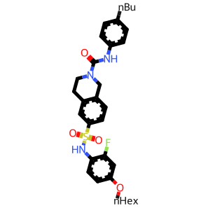 CCCCCCOc1ccc(NS(=O)(=O)c2ccc3c(c2)CCN(C(=O)Nc2ccc(CCCC)cc2)C3)c(F)c1